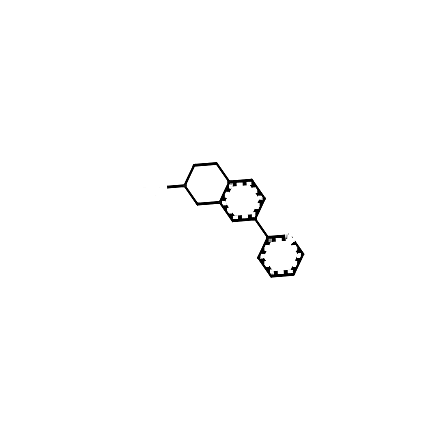 O=C(O)C1CCc2ccc(-c3ccccn3)cc2C1